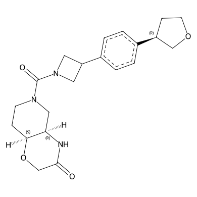 O=C1CO[C@H]2CCN(C(=O)N3CC(c4ccc([C@H]5CCOC5)cc4)C3)C[C@H]2N1